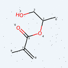 [CH2]C(CO)OC(=O)C(=C)C